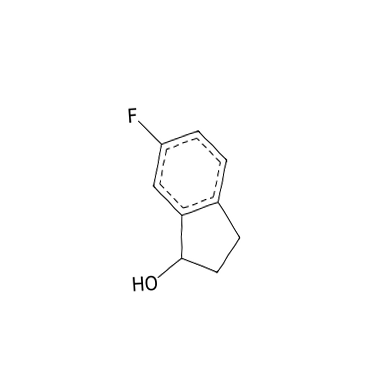 OC1CCc2ccc(F)cc21